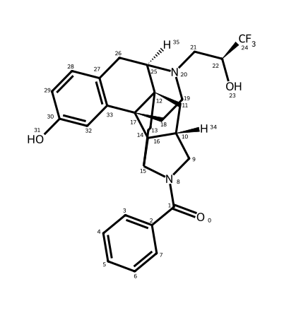 O=C(c1ccccc1)N1C[C@H]2C[C@@]34CCC1C2[C@@]31CCN(C[C@H](O)C(F)(F)F)[C@@H]4Cc2ccc(O)cc21